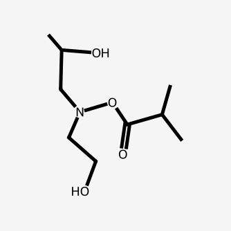 CC(O)CN(CCO)OC(=O)C(C)C